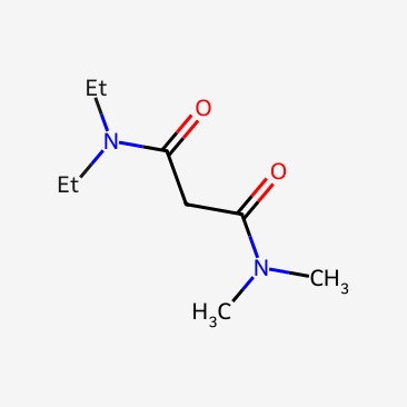 CCN(CC)C(=O)CC(=O)N(C)C